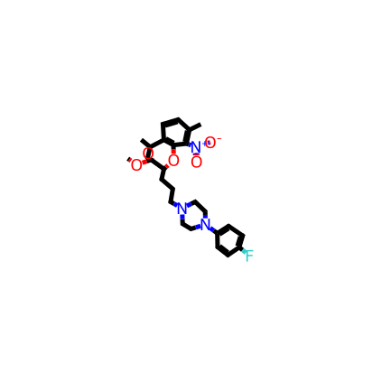 COC(=O)C(CCCN1CCN(c2ccc(F)cc2)CC1)Oc1c(C(C)C)ccc(C)c1[N+](=O)[O-]